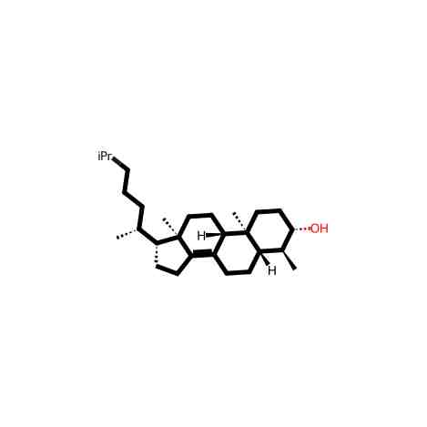 CC(C)CCC[C@@H](C)[C@H]1CCC2=C3CC[C@H]4[C@H](C)[C@@H](O)CC[C@]4(C)[C@H]3CC[C@@]21C